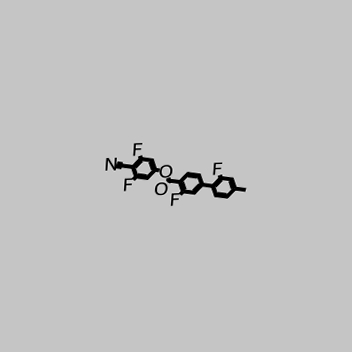 Cc1ccc(-c2ccc(C(=O)Oc3cc(F)c(C#N)c(F)c3)c(F)c2)c(F)c1